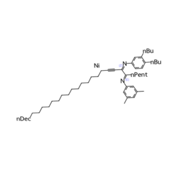 CCCCCCCCCCCCCCCCCCCCCCCCCC#CC(=N/c1ccc(CCCC)c(CCCC)c1)/C(CCCCC)=N/c1cc(C)cc(C)c1.[Ni]